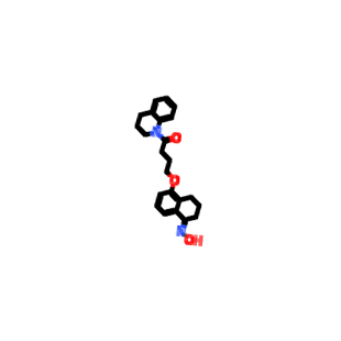 O=C(CCCOc1cccc2c1CCCC2=NO)N1CCCc2ccccc21